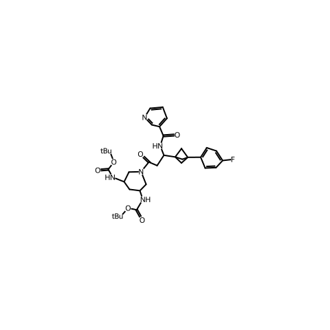 CC(C)(C)OC(=O)NC1CC(NC(=O)OC(C)(C)C)CN(C(=O)CC(NC(=O)c2cccnc2)C23CC(c4ccc(F)cc4)(C2)C3)C1